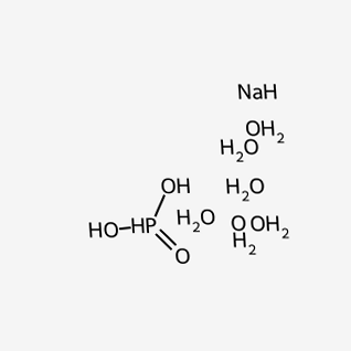 O.O.O.O.O.O.O=[PH](O)O.[NaH]